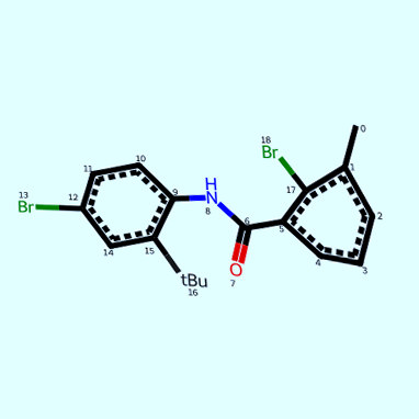 Cc1cccc(C(=O)Nc2ccc(Br)cc2C(C)(C)C)c1Br